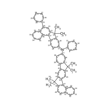 CC1(C)c2cc(N(c3ccccc3)c3ccc4c(c3)C(C)(C)c3cc(-c5ccccc5)c5ccccc5c3-4)ccc2-c2cc3c(cc21)-c1c(ccc2ccccc12)C3(C)C